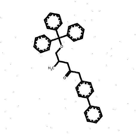 CC(COC(c1ccccc1)(c1ccccc1)c1ccccc1)CC(=O)Cc1ccc(-c2ccccc2)cc1